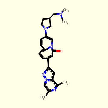 Cc1cn2nc(C3=C\C(=O)N4C=C(N5CC[C@@H](CN(C)C)C5)C=C\C4=C/C=C/3)cc2c(C)n1